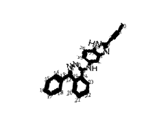 CC#Cc1nc2cc(Nc3nnc(-c4ccccc4)c4ccccc34)ccc2[nH]1